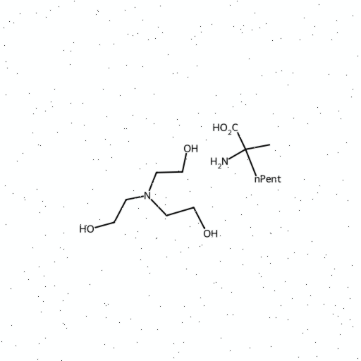 CCCCCC(C)(N)C(=O)O.OCCN(CCO)CCO